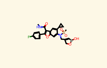 CNC(=O)c1c(-c2ccc(F)cc2)oc2cc(N(CC3=CB(O)OC3)S(C)(=O)=O)c(C3CC3)cc12